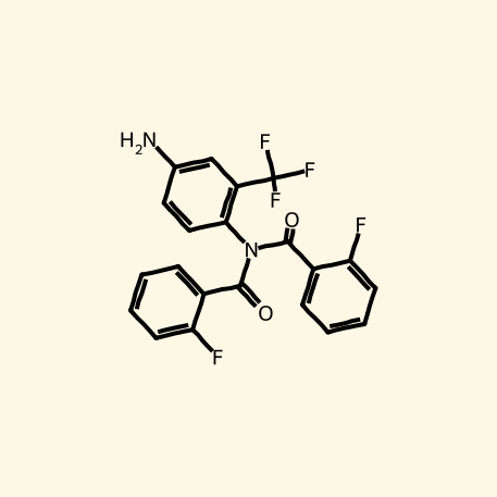 Nc1ccc(N(C(=O)c2ccccc2F)C(=O)c2ccccc2F)c(C(F)(F)F)c1